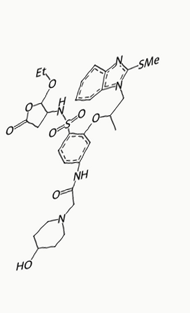 CCOC1OC(=O)CC1NS(=O)(=O)c1ccc(NC(=O)CN2CCC(O)CC2)cc1OC(C)Cn1c(SC)nc2ccccc21